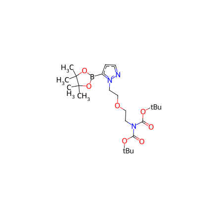 CC(C)(C)OC(=O)N(CCOCCn1nccc1B1OC(C)(C)C(C)(C)O1)C(=O)OC(C)(C)C